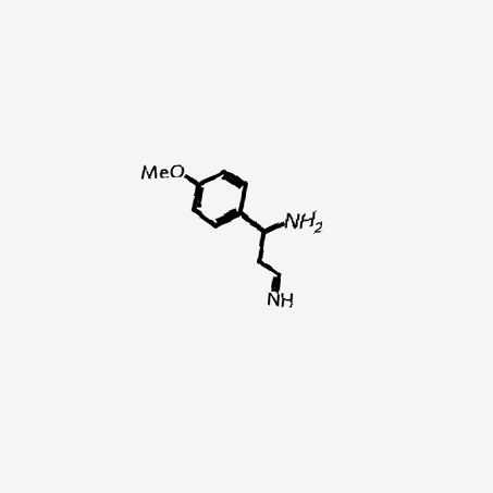 COc1ccc(C(N)CC=N)cc1